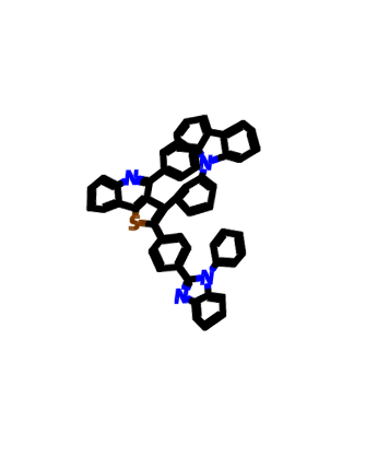 c1ccc(-c2nc3ccccc3c3sc(-c4ccc(-c5nc6ccccc6n5-c5ccccc5)cc4)c(-c4cccc(-n5c6ccccc6c6ccccc65)c4)c23)cc1